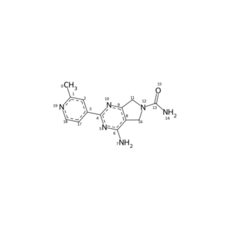 Cc1cc(-c2nc(N)c3c(n2)CN(C(N)=O)C3)ccn1